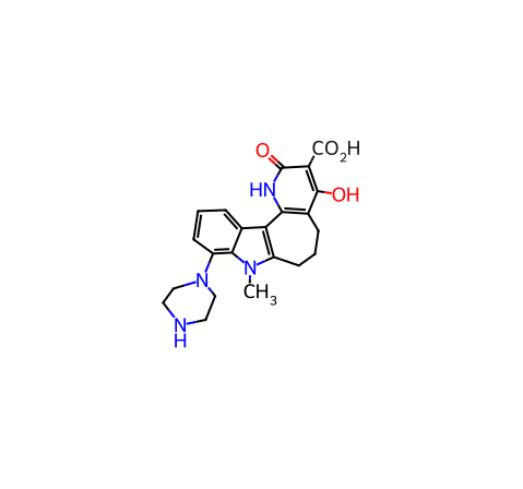 Cn1c2c(c3cccc(N4CCNCC4)c31)-c1[nH]c(=O)c(C(=O)O)c(O)c1CCC2